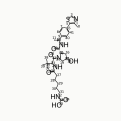 Cc1ncsc1-c1ccc([C@H](C)NC(=O)[C@@H]2C[C@@H](O)CN2C(=O)C(NC(=O)CCCCCNC(=O)O)C(C)(C)C)cc1